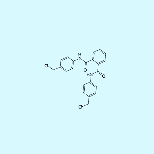 O=C(Nc1ccc(CCl)cc1)c1ccccc1C(=O)Nc1ccc(CCl)cc1